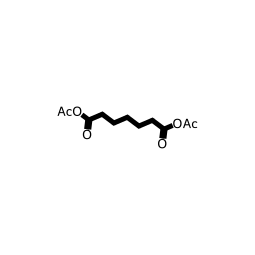 CC(=O)OC(=O)CCCCCC(=O)OC(C)=O